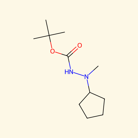 CN(NC(=O)OC(C)(C)C)C1CCCC1